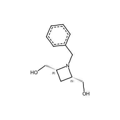 OC[C@@H]1C[C@H](CO)N1Cc1ccccc1